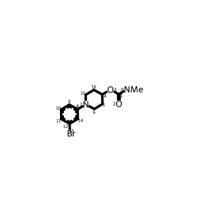 CNC(=O)OC1CCN(c2cccc(Br)c2)CC1